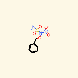 NS(=O)(=O)N(OCc1ccccc1)[N+](=O)[O-]